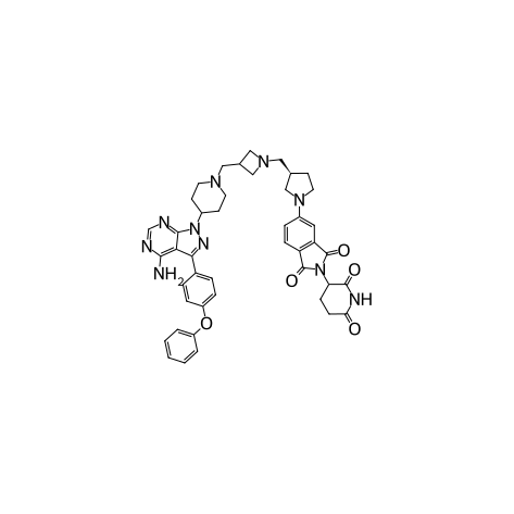 Nc1ncnc2c1c(-c1ccc(Oc3ccccc3)cc1)nn2C1CCN(CC2CN(C[C@H]3CCN(c4ccc5c(c4)C(=O)N(C4CCC(=O)NC4=O)C5=O)C3)C2)CC1